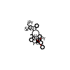 C=C1CC2C(CCc3ccc4c(oc5ccccc54)c3-c3n4c5c(cccc5[n+]31)C(C)c1cc(-c3ccccc3)cc(C(C)C)c1-4)c1ccccc1-c1cc(CC(C)C)c([Si](C)(C)C)c[n+]12